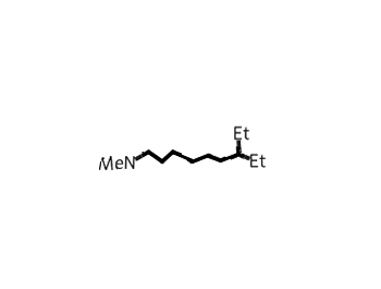 CCC(CC)CCCCCCNC